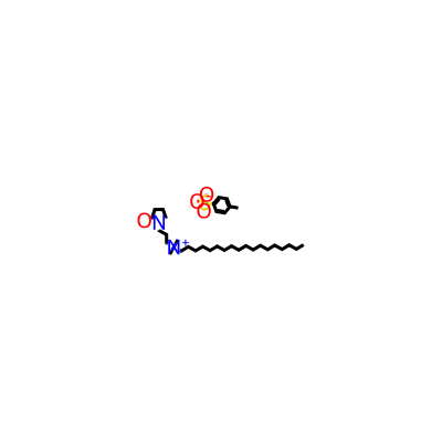 CCCCCCCCCCCCCCCCCC[N+](C)(C)CCCN1CCCC1=O.Cc1ccc(S(=O)(=O)[O-])cc1